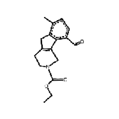 CCOC(=O)N1CCC2=C(C1)c1c(C=O)ccc(C)c1C2